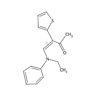 CCN(/C=C(\C(C)=O)c1cccs1)c1ccccc1